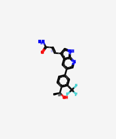 C[C@H](O)c1ccc(-c2cnc3[nH]cc(/C=C/C(N)=O)c3c2)cc1C(F)(F)F